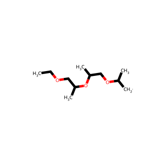 [CH2]C(C)OCC(C)OC(C)COCC